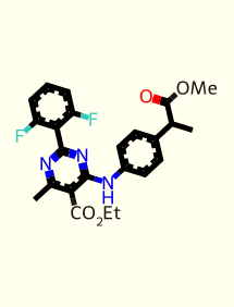 CCOC(=O)c1c(C)nc(-c2c(F)cccc2F)nc1Nc1ccc(C(C)C(=O)OC)cc1